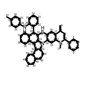 C=C1C=C(c2ccccc2)N(C)c2cc3c(cc21)Bc1c(-c2ccccc2Nc2ccc(C)cc2)c2ccccc2c2c4c5ccccc5ccc4n-3c12